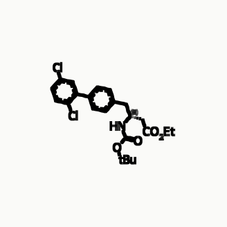 CCOC(=O)C[C@@H](Cc1ccc(-c2cc(Cl)ccc2Cl)cc1)NC(=O)OC(C)(C)C